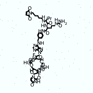 CC(C)C(NCCCCCN1C(=O)C=CC1=O)C(=O)NC(CCCNC(N)=O)C(=O)Nc1ccc(CNc2ncnc3c2ncn3[C@@H]2O[C@@H]3COP(=O)(S)O[C@H]4[C@@H](F)[C@H](n5ccc(=O)[nH]c5=O)O[C@@H]4COP(=O)(O)O[C@H]3[C@H]2F)cc1